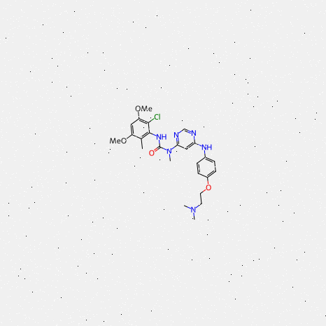 COc1cc(OC)c(Cl)c(NC(=O)N(C)c2cc(Nc3ccc(OCCN(C)C)cc3)ncn2)c1C